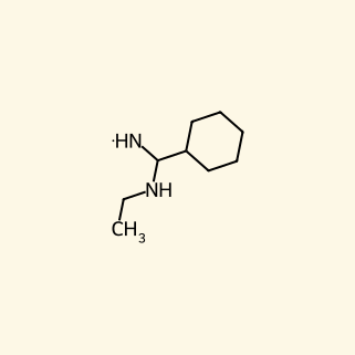 CCNC([NH])C1CCCCC1